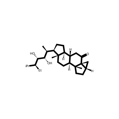 CC[C@@H](C(C)C)[C@H](O)[C@@H](O)[C@@H](C)[C@H]1CC[C@H]2[C@@H]3CC(=O)[C@]45C[C@@H]4CC[C@]5(C)[C@H]3CC[C@]12C